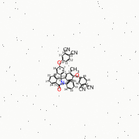 Cc1cc(C2(C3=CCC(Oc4ccc(C#N)c(C#N)c4)C=C3)c3ccccc3C(=O)N2c2ccccc2)ccc1Oc1ccc(C#N)c(C#N)c1